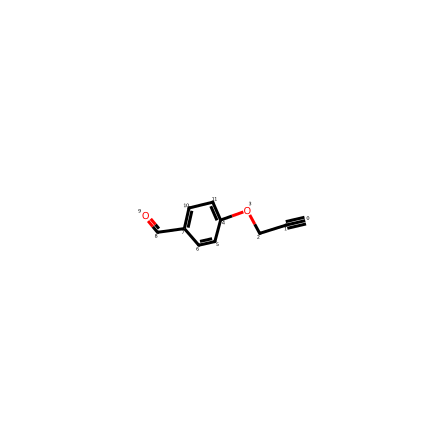 C#CCOc1ccc(C=O)cc1